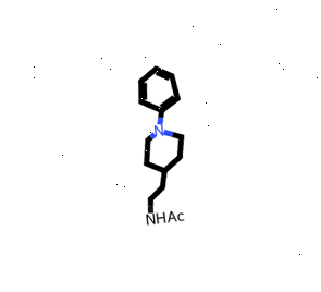 CC(=O)NCCC1CCN(c2ccccc2)CC1